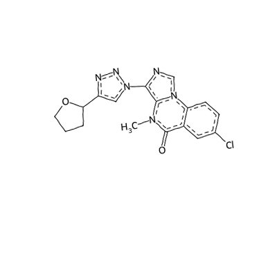 Cn1c(=O)c2cc(Cl)ccc2n2cnc(-n3cc(C4CCCO4)nn3)c12